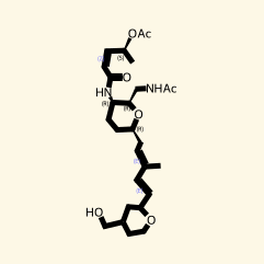 CC(=O)NC[C@H]1O[C@@H](C/C=C(C)/C=C/C2CC(CO)CCO2)CC[C@H]1NC(=O)/C=C\[C@H](C)OC(C)=O